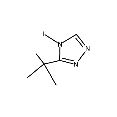 CC(C)(C)c1nncn1I